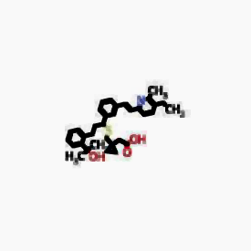 CCc1ccc(C=Cc2cccc(C(CCc3ccccc3C(C)(C)O)SCC3(CC(=O)O)CC3)c2)nc1C